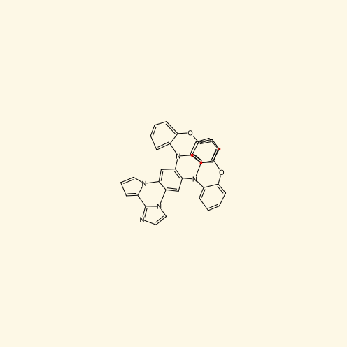 c1ccc2c(c1)Oc1ccccc1N2c1cc2c(cc1N1c3ccccc3Oc3ccccc31)n1ccnc1c1cccn21